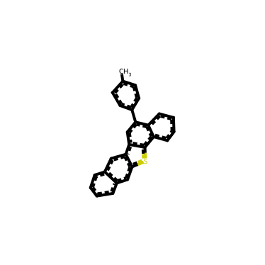 Cc1ccc(-c2cc3c4cc5ccccc5cc4sc3c3ccccc23)cc1